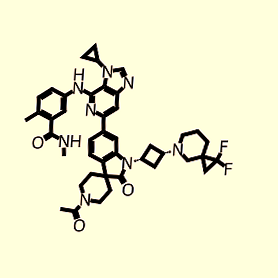 CNC(=O)c1cc(Nc2nc(-c3ccc4c(c3)N([C@H]3C[C@@H](N5CCCC6(C5)CC6(F)F)C3)C(=O)C43CCN(C(C)=O)CC3)cc3ncn(C4CC4)c23)ccc1C